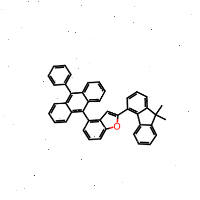 CC1(C)c2ccccc2-c2c(-c3cc4c(-c5c6ccccc6c(-c6ccccc6)c6ccccc56)cccc4o3)cccc21